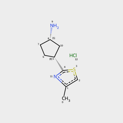 Cc1csc([C@@H]2CC[C@H](N)C2)n1.Cl